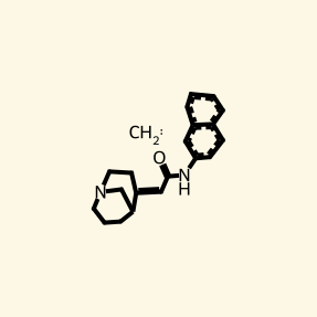 O=C(C=C1CCN2CCCC1C2)Nc1ccc2ccccc2c1.[CH2]